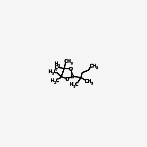 CCCC(C)(C)B1OC(C)(C)C(C)(C)O1